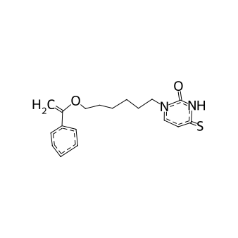 C=C(OCCCCCCn1ccc(=S)[nH]c1=O)c1ccccc1